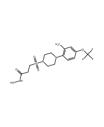 Cc1cc(OC(F)(F)F)ccc1N1CCN(S(=O)(=O)CCC(=O)NO)CC1